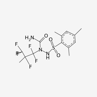 Cc1cc(C)c(S(=O)(=O)NN(C(N)=O)C(F)(F)C(C)(F)C(F)(F)F)c(C)c1